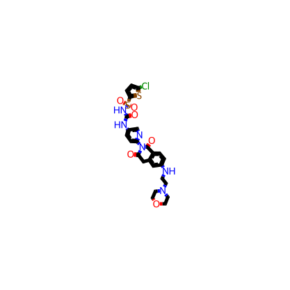 O=C(Nc1ccc(N2C(=O)Cc3cc(NCCN4CCOCC4)ccc3C2=O)nc1)NS(=O)(=O)c1ccc(Cl)s1